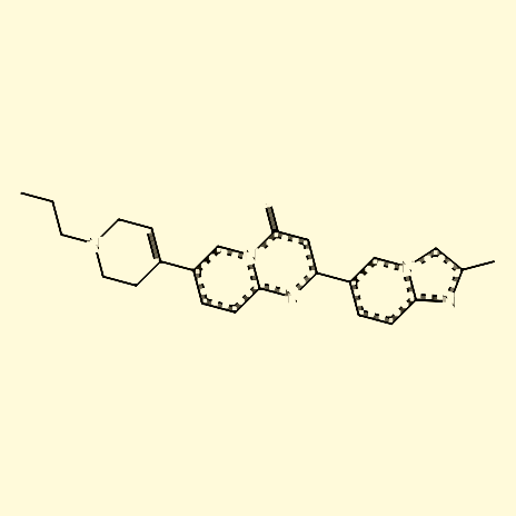 CCCN1CC=C(c2ccc3nc(-c4ccc5nc(C)cn5c4)cc(=O)n3c2)CC1